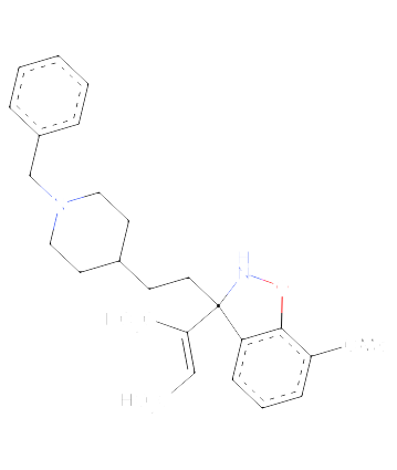 COc1cccc2c1ONC2(CCC1CCN(Cc2ccccc2)CC1)C(=CC(=O)O)C(=O)O